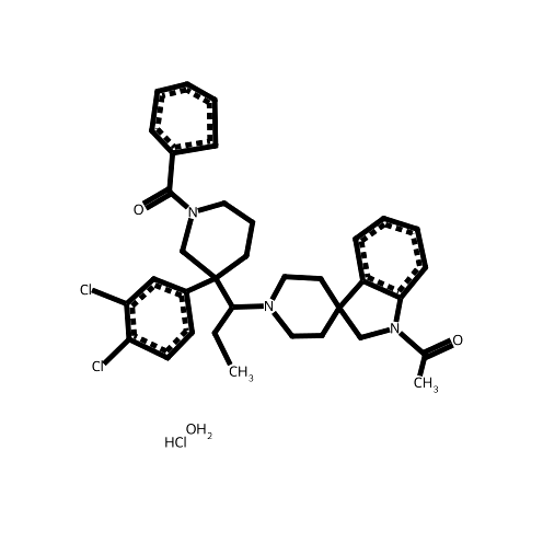 CCC(N1CCC2(CC1)CN(C(C)=O)c1ccccc12)C1(c2ccc(Cl)c(Cl)c2)CCCN(C(=O)c2ccccc2)C1.Cl.O